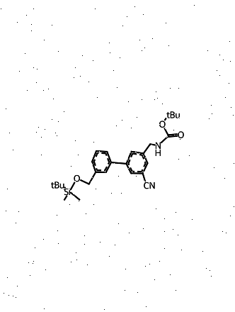 CC(C)(C)OC(=O)NCc1cc(C#N)cc(-c2cccc(CO[Si](C)(C)C(C)(C)C)c2)c1